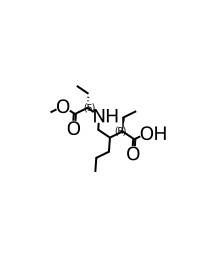 CCCC(CN[C@@H](CC)C(=O)OC)[C@@H](CC)C(=O)O